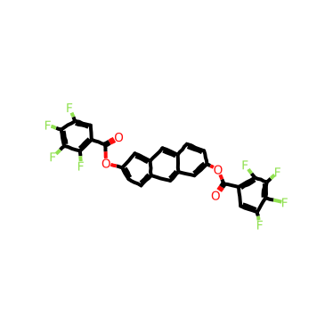 O=C(Oc1ccc2cc3cc(OC(=O)c4cc(F)c(F)c(F)c4F)ccc3cc2c1)c1cc(F)c(F)c(F)c1F